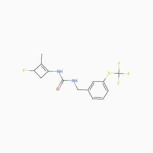 CC1=C(NC(=O)NCc2cccc(SC(F)(F)F)c2)CC1F